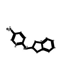 O=[N+]([O-])c1ccc(NC2Cc3ccccc3C2)nc1